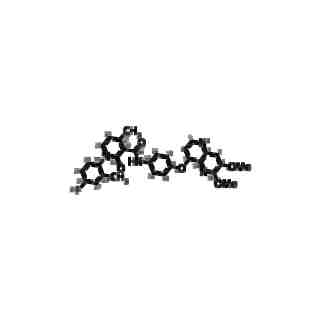 COc1cc2nccc(Oc3ccc(NC(=O)c4c(C)ccn(-c5ccc(F)cc5C)c4=O)cc3)c2nc1OC